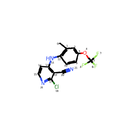 Cc1cc(OC(F)(F)F)ccc1Nc1ccnc(Cl)c1C#N